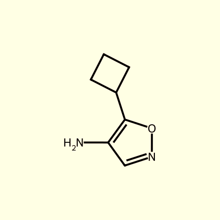 Nc1cnoc1C1CCC1